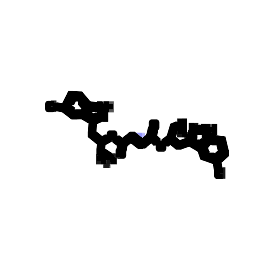 NCC(Cc1n[nH]c2ccc(Cl)cc12)OC(=O)/C=C/C(=O)OC(CN)Cc1n[nH]c2ccc(Cl)cc12